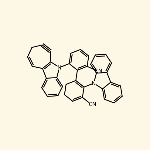 N#CC1=CCCC(c2c(C#N)cccc2-n2c3c(c4ccccc42)C=CCC#C3)=C1n1c2ccccc2c2ccccc21